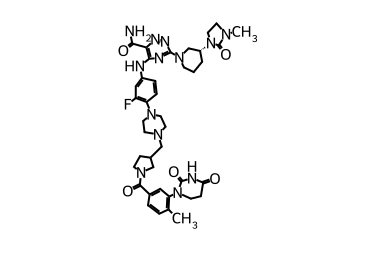 Cc1ccc(C(=O)N2CCC(CN3CCN(c4ccc(Nc5nc(N6CCC[C@@H](N7CCN(C)C7=O)C6)nnc5C(N)=O)cc4F)CC3)C2)cc1N1CCC(=O)NC1=O